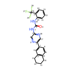 O=C(Nc1cnc(-c2ccc3c(c2)CC[CH]C3)cn1)Nc1ccccc1C(F)(F)F